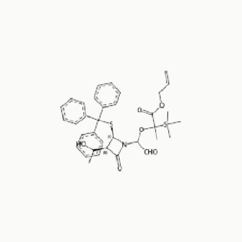 C=CCOC(=O)C(C)(OC(C=O)N1C(=O)[C@@H](C(C)O)[C@H]1SC(c1ccccc1)(c1ccccc1)c1ccccc1)[Si](C)(C)C